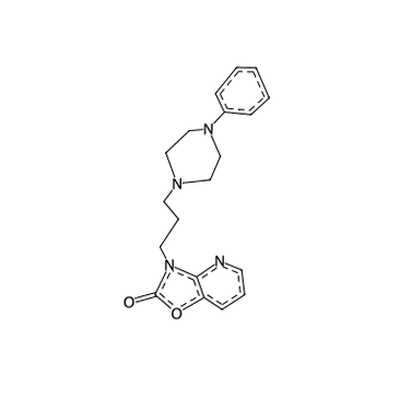 O=c1oc2cccnc2n1CCCN1CCN(c2ccccc2)CC1